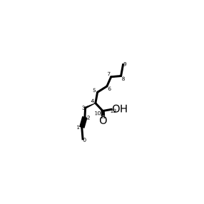 CC#CC[C@@H](CCCCC)C(=O)O